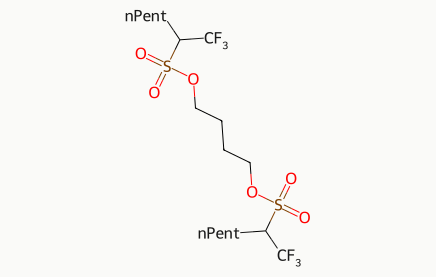 CCCCCC(C(F)(F)F)S(=O)(=O)OCCCCOS(=O)(=O)C(CCCCC)C(F)(F)F